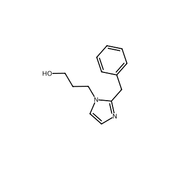 OCCCn1ccnc1Cc1ccccc1